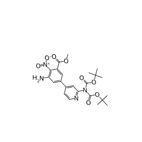 COC(=O)c1cc(-c2ccnc(N(C(=O)OC(C)(C)C)C(=O)OC(C)(C)C)c2)cc(N)c1[N+](=O)[O-]